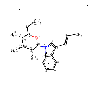 CC=Cc1cn([C@@H]2O[C@H](CC)[C@@H](C)[C@H](C)[C@H]2C)c2ccccc12